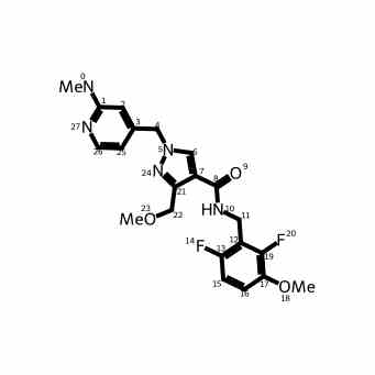 CNc1cc(Cn2cc(C(=O)NCc3c(F)ccc(OC)c3F)c(COC)n2)ccn1